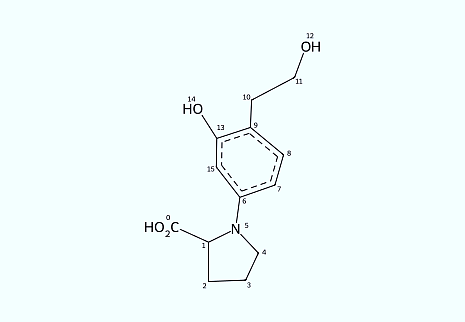 O=C(O)C1CCCN1c1ccc(CCO)c(O)c1